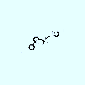 Cc1nc(COc2ccc(C(F)(F)F)nn2)sc1-c1cccc(-c2ccc(C(=O)O)cc2)n1